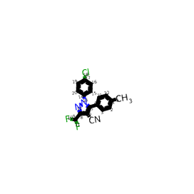 Cc1ccc(-c2c(C#N)c(C(F)F)nn2-c2ccc(Cl)cc2)cc1